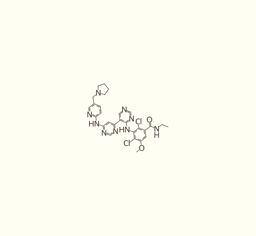 CCNC(=O)c1cc(OC)c(Cl)c(Nc2ncncc2-c2cc(Nc3ccc(CN4CCCC4)cn3)ncn2)c1Cl